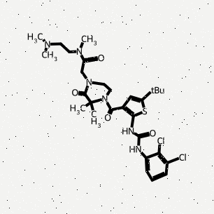 CN(C)CCN(C)C(=O)CN1CCN(C(=O)c2cc(C(C)(C)C)sc2NC(=O)Nc2cccc(Cl)c2Cl)C(C)(C)C1=O